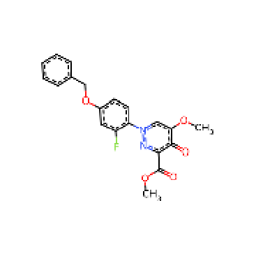 COC(=O)c1nn(-c2ccc(OCc3ccccc3)cc2F)cc(OC)c1=O